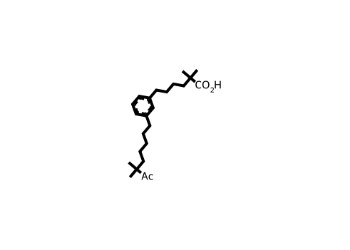 CC(=O)C(C)(C)CCCCCc1cccc(CCCCC(C)(C)C(=O)O)c1